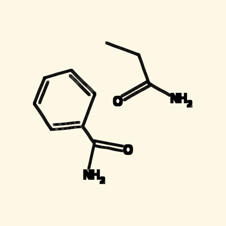 CCC(N)=O.NC(=O)c1ccccc1